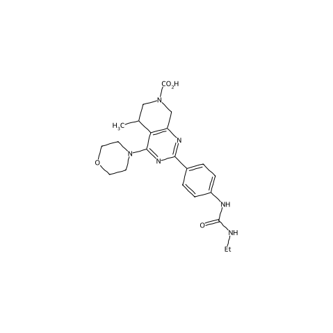 CCNC(=O)Nc1ccc(-c2nc3c(c(N4CCOCC4)n2)C(C)CN(C(=O)O)C3)cc1